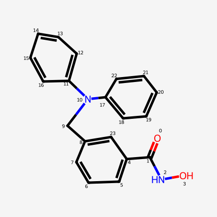 O=C(NO)c1cccc(CN(c2ccccc2)c2ccccc2)c1